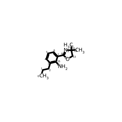 CCCc1cccc(C2=NC(C)(C)CO2)c1N